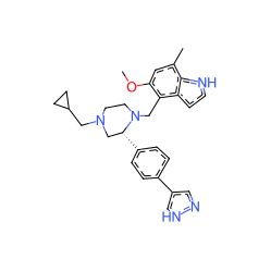 COc1cc(C)c2[nH]ccc2c1CN1CCN(CC2CC2)C[C@H]1c1ccc(-c2cn[nH]c2)cc1